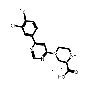 O=C(O)C1CN(c2cc(-c3ccc(Cl)c(Cl)c3)ncn2)CCN1